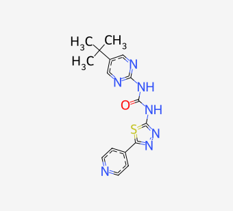 CC(C)(C)c1cnc(NC(=O)Nc2nnc(-c3ccncc3)s2)nc1